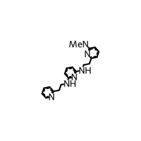 CNc1cccc(CCNc2cccc(NCCc3ccccn3)n2)n1